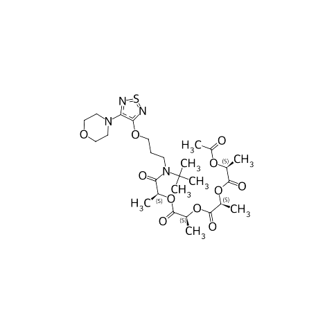 CC(=O)O[C@@H](C)C(=O)O[C@@H](C)C(=O)O[C@@H](C)C(=O)O[C@@H](C)C(=O)N(CCCOc1nsnc1N1CCOCC1)C(C)(C)C